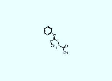 COC(CCC(=O)O)=Nc1ccccc1